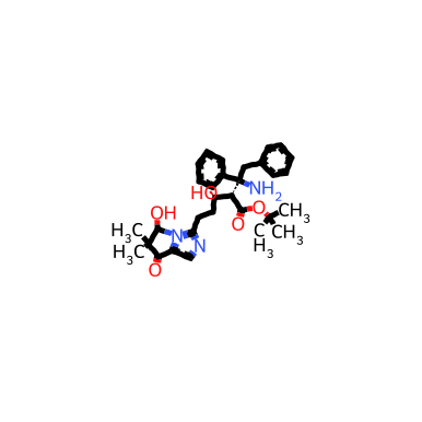 CC(C)(C)OC(=O)[C@H]([C@@H](O)CCc1ncc2n1C(O)C(C)(C)C2=O)C(N)(Cc1ccccc1)c1ccccc1